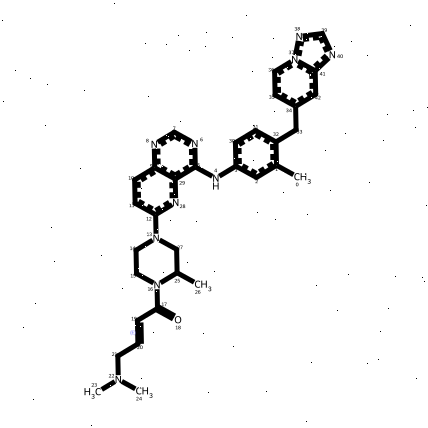 Cc1cc(Nc2ncnc3ccc(N4CCN(C(=O)/C=C/CN(C)C)C(C)C4)nc23)ccc1Cc1ccn2ncnc2c1